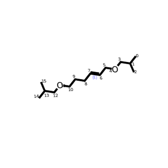 CC(C)COC/C=C/CCCOCC(C)C